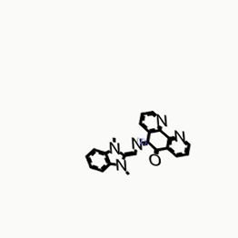 CN1C(=C/N=C2\C(=O)c3cccnc3-c3ncccc32)N(C)c2ccccc21